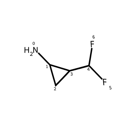 NC1CC1C(F)F